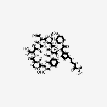 CC(C)C[C@@H](C(=O)N[C@H](C(=O)N1CCCCC1)C1=CC(CCCC(=O)N(C)C(C)C)C=C1)N(C)C(=O)[C@H](COC(C)(C)C)NC(=O)[C@H](CC(C)C)N(C)C(=O)N(C)C(=O)[C@@H](NC(=O)[C@H](CC(C)C)N(C)C(=O)[C@H](Cc1ccccc1)N(C)C=O)[C@@H](C)O